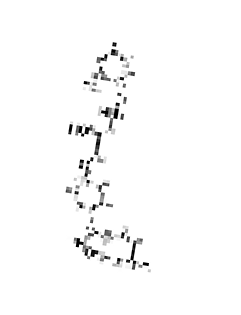 OC(CNCc1ccccc1Cl)COc1ccc(-c2noc3cc(F)ccc23)cc1